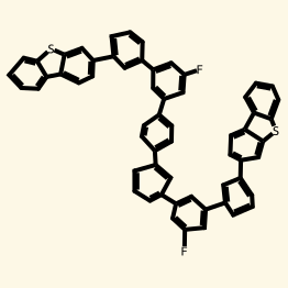 Fc1cc(-c2ccc(-c3cccc(-c4cc(F)cc(-c5cccc(-c6ccc7c(c6)sc6ccccc67)c5)c4)c3)cc2)cc(-c2cccc(-c3ccc4c(c3)sc3ccccc34)c2)c1